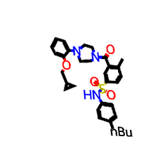 CCCCc1ccc(NS(=O)(=O)c2ccc(C)c(C(=O)N3CCN(c4ccccc4OCC4CC4)CC3)c2)cc1